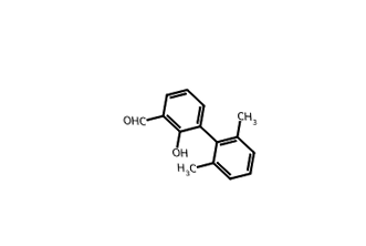 Cc1cccc(C)c1-c1cccc(C=O)c1O